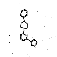 c1ccc(C2CCN(c3cncc(-c4ccoc4)n3)CC2)cc1